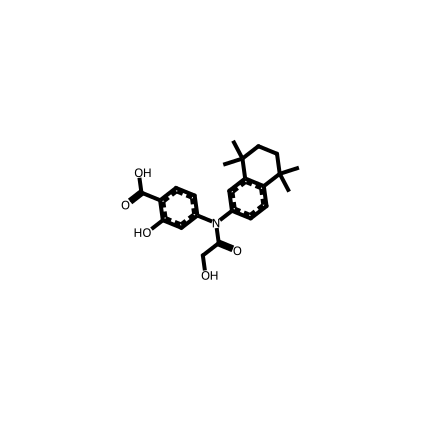 CC1(C)CCC(C)(C)c2cc(N(C(=O)CO)c3ccc(C(=O)O)c(O)c3)ccc21